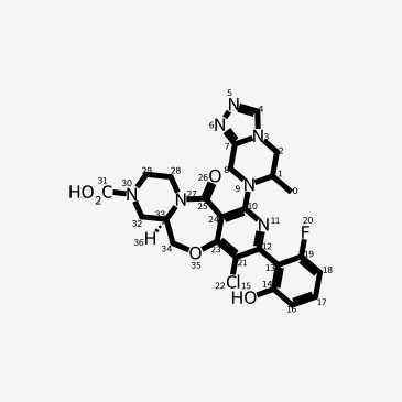 CC1Cn2cnnc2CN1c1nc(-c2c(O)cccc2F)c(Cl)c2c1C(=O)N1CCN(C(=O)O)C[C@@H]1CO2